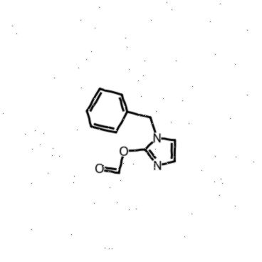 O=COc1nccn1Cc1ccccc1